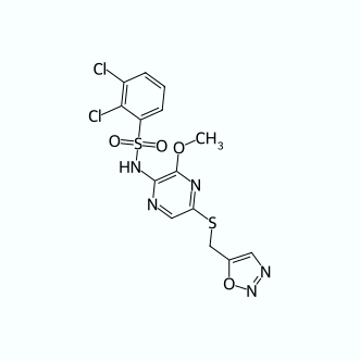 COc1nc(SCc2cnno2)cnc1NS(=O)(=O)c1cccc(Cl)c1Cl